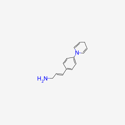 NCC=Cc1ccc(N2C=CCC=C2)cc1